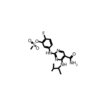 CC(C)C(C)Nc1nc(Nc2ccc(F)c(OS(C)(=O)=O)c2)ncc1C(N)=O